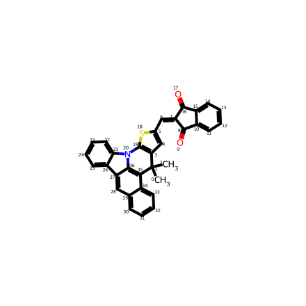 CC1(C)c2cc(C=C3C(=O)c4ccccc4C3=O)sc2-n2c3ccccc3c3cc4ccccc4c1c32